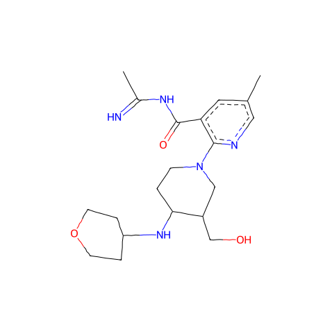 CC(=N)NC(=O)c1cc(C)cnc1N1CCC(NC2CCOCC2)C(CO)C1